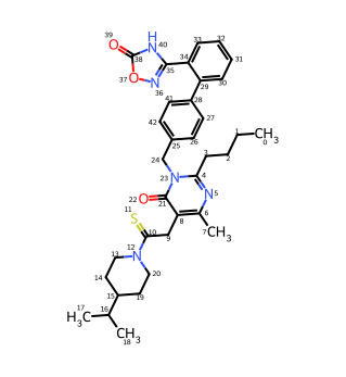 CCCCc1nc(C)c(CC(=S)N2CCC(C(C)C)CC2)c(=O)n1Cc1ccc(-c2ccccc2-c2noc(=O)[nH]2)cc1